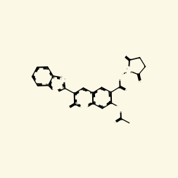 CC(=O)Oc1cc2oc(=O)c(-c3nc4ccccc4s3)cc2cc1C(=O)ON1C(=O)CCC1=O